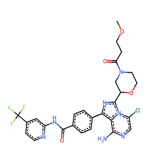 COCCC(=O)N1CCOC(c2nc(-c3ccc(C(=O)Nc4cc(C(F)(F)F)ccn4)cc3)c3c(N)ncc(Cl)n23)C1